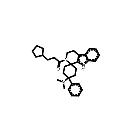 CN(C)C1(c2ccccc2)CCC2(CC1)c1[nH]c3ccccc3c1CCN2C(=O)CCC1CCCC1